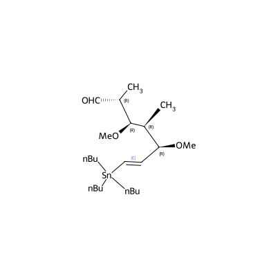 CCC[CH2][Sn](/[CH]=C/[C@H](OC)[C@H](C)[C@@H](OC)[C@@H](C)C=O)([CH2]CCC)[CH2]CCC